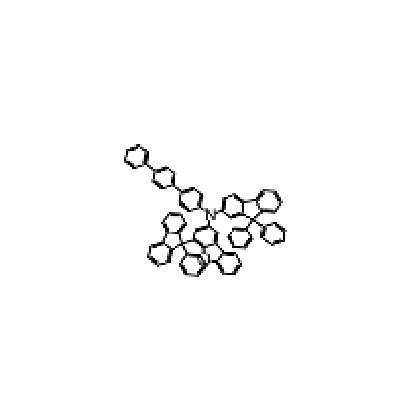 c1ccc(-c2ccc(-c3ccc(N(c4ccc5c(c4)C(c4ccccc4)(c4ccccc4)c4ccccc4-5)c4cc(C5(c6ccccc6)c6ccccc6-c6ccccc65)c5oc6ccccc6c5c4)cc3)cc2)cc1